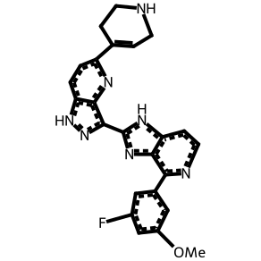 COc1cc(F)cc(-c2nccc3[nH]c(-c4n[nH]c5ccc(C6=CCNCC6)nc45)nc23)c1